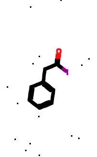 O=C(I)Cc1ccccc1